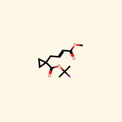 COC(=O)C=CCC1(C(=O)OC(C)(C)I)CC1